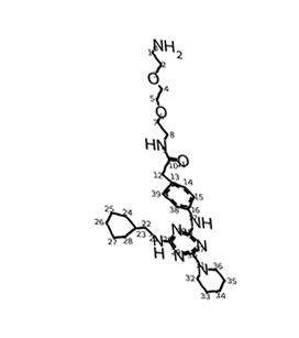 NCCOCCOCCNC(=O)Cc1ccc(Nc2nc(NCC3CCCCC3)nc(N3CCCCC3)n2)cc1